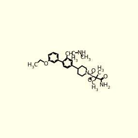 CCOc1cccc(-c2ccc(C3CCN(S(=O)(=O)C(C)(C)C(N)=O)CC3)cc2C)c1.CNC